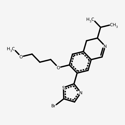 COCCCOc1cc2c(cc1-c1ncc(Br)s1)C=NC(C(C)C)C2